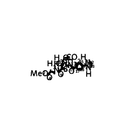 CC(=O)O.COC(=O)CCNC(=O)C1SC(=NC(=O)c2ccc(C3=NCCN3)cc2)N(C)C1C